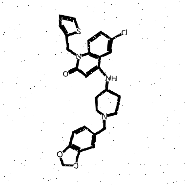 O=c1cc(NC2CCN(Cc3ccc4c(c3)OCO4)CC2)c2cc(Cl)ccc2n1Cc1cccs1